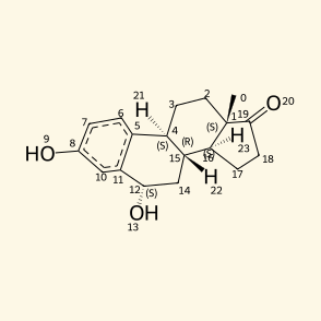 C[C@]12CC[C@@H]3c4ccc(O)cc4[C@@H](O)C[C@H]3[C@@H]1CCC2=O